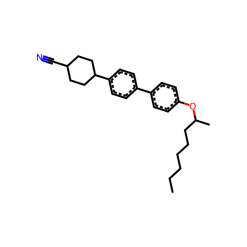 CCCCCCC(C)Oc1ccc(-c2ccc(C3CCC(C#N)CC3)cc2)cc1